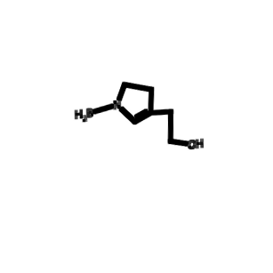 BN1C=C(CCO)CC1